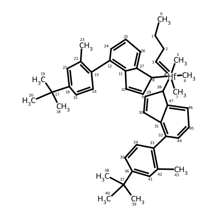 CCC[CH]=[Hf]([CH3])([CH3])([CH3])([CH]1C=Cc2c(-c3ccc(C(C)(C)C)cc3C)cccc21)[CH]1C=Cc2c(-c3ccc(C(C)(C)C)cc3C)cccc21